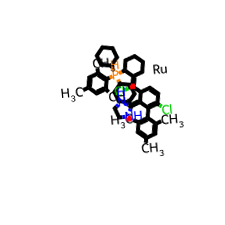 Cc1cc(C)c(C2=C(Cl)C=CC(C(Cl)=C3CCCCC3[PH](c3c(C)cc(C)cc3C)(C3CCCCC3)C3CCCCC3)C2=C2NCCN2)c(C)c1.[Ru]